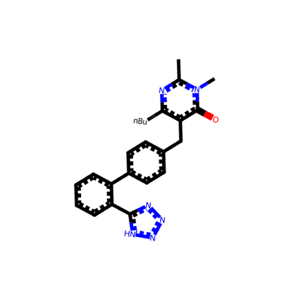 CCCCc1nc(C)n(C)c(=O)c1Cc1ccc(-c2ccccc2-c2nnn[nH]2)cc1